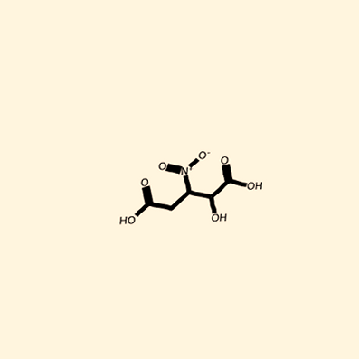 O=C(O)CC(C(O)C(=O)O)[N+](=O)[O-]